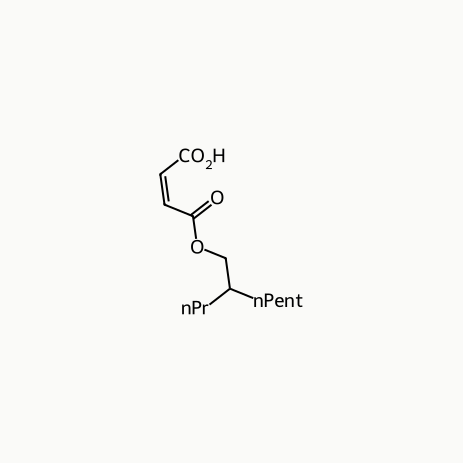 CCCCCC(CCC)COC(=O)/C=C\C(=O)O